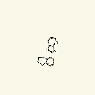 c1cc2c(c(-c3nc4ncccc4o3)c1)CCCC2